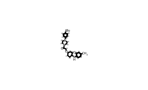 Cc1ccc(NC2CCC(OCC(=O)N3CCN(c4ccc(C(C)(C)C)cc4)CC3)CC2)c(C#N)c1